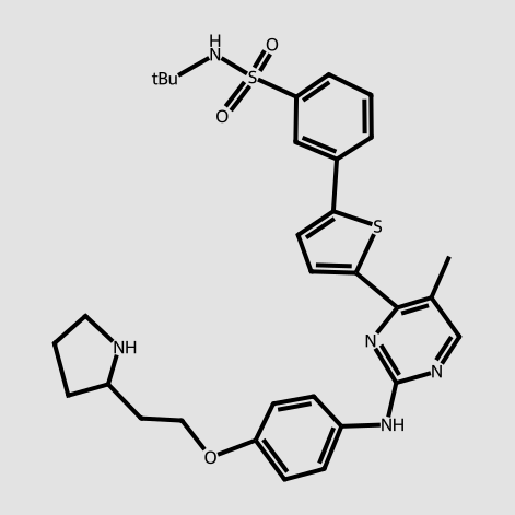 Cc1cnc(Nc2ccc(OCCC3CCCN3)cc2)nc1-c1ccc(-c2cccc(S(=O)(=O)NC(C)(C)C)c2)s1